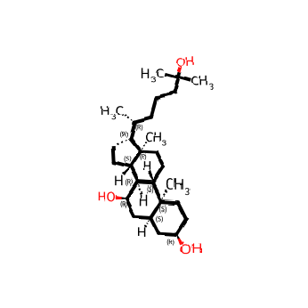 C[C@H](CCCC(C)(C)O)[C@H]1CC[C@H]2[C@@H]3[C@H](O)C[C@@H]4C[C@H](O)CC[C@]4(C)[C@H]3CC[C@]12C